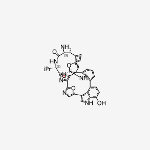 CC(C)[C@@H]1NC(=O)[C@@H](N)Cc2ccc3c(c2)C24c5cccc(c5N[C@H]2O3)-c2ccc(O)c3[nH]cc(c23)-c2cnc(o2)-c2nc1oc24